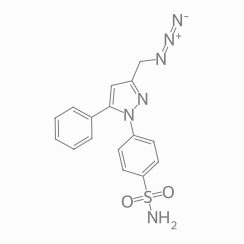 [N-]=[N+]=NCc1cc(-c2ccccc2)n(-c2ccc(S(N)(=O)=O)cc2)n1